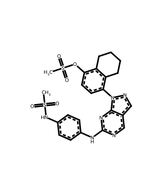 CS(=O)(=O)Nc1ccc(Nc2ncc3cnn(-c4ccc(OS(C)(=O)=O)c5c4CCCC5)c3n2)cc1